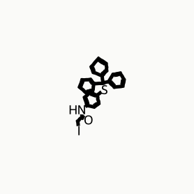 O=C(CI)Nc1ccc(SC(c2ccccc2)(c2ccccc2)c2ccccc2)cc1